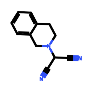 N#CC(C#N)N1CCc2ccccc2C1